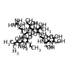 CCC[C@H](NC(=O)C(N)[C@H](O)C(C)C)C(=O)N[C@H](CCCNC(=N)N)C(=O)N[C@H](C(=O)N[C@H](C(=O)NCC(=O)N[C@@H](CO)C(=O)N[C@@H](CO)C(=O)O)[C@H](C)O)[C@@H](C)CC